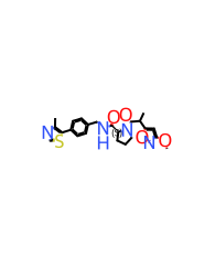 COc1cc(C(C)C(=O)N2CCC[C@H]2C(=O)NCc2ccc(-c3scnc3C)cc2)on1